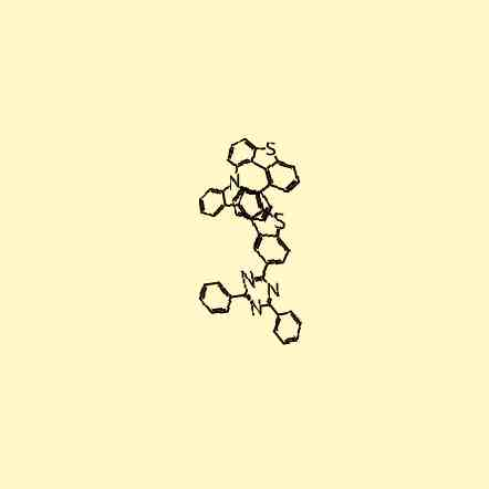 c1ccc(-c2nc(-c3ccccc3)nc(-c3ccc4sc5c(-c6cccc7sc8cccc(-n9c%10ccccc%10c%10ccccc%109)c8c67)cccc5c4c3)n2)cc1